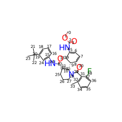 COC(=O)NC1=CC=CC([C@H]2[C@@H](C(=O)Nc3cccc(C(C)(C)C)c3)CCCN2C(=O)c2c(C)cccc2F)C1